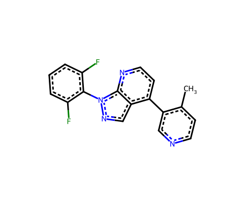 Cc1ccncc1-c1ccnc2c1cnn2-c1c(F)cccc1F